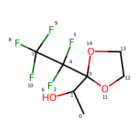 CC(O)C1(C(F)(F)C(F)(F)F)OCCO1